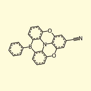 N#Cc1cc2c3c(c1)Oc1cccc4c1N3c1c(cccc1B4c1ccccc1)O2